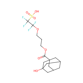 O=C(OCCCOC(F)(F)C(F)(F)S(=O)(=O)O)C12CC3CC(CC(O)(C3)C1)C2